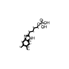 Cc1cc2nc(CCCCOP(=O)(O)O)[nH]c2cc1C